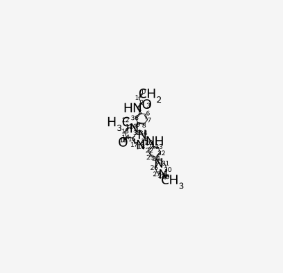 C=CC(=O)Nc1cccc(-n2c(C)cc(=O)c3cnc(Nc4ccc(N5CCN(C)CC5)cc4)nc32)c1